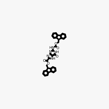 O=C(Nc1nc2c(c(=O)[nH]1)NC(C(=O)OCC1c3ccccc3-c3ccccc31)=[N+]2)OCC1c2ccccc2-c2ccccc21